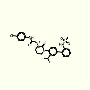 CS(=O)(=O)Nc1ccccc1-c1ccc(N2CCC[C@@H](NC(=O)Nc3ccc(Cl)cc3)C2=O)c(C(F)F)c1